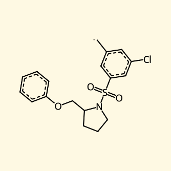 [CH2]c1cc(Cl)cc(S(=O)(=O)N2CCCC2COc2ccccc2)c1